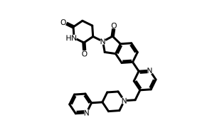 O=C1CCC(N2Cc3cc(-c4cc(CN5CCC(c6ccccn6)CC5)ccn4)ccc3C2=O)C(=O)N1